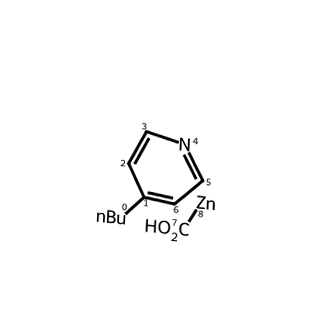 CCCCc1ccncc1.O=[C](O)[Zn]